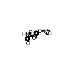 O=C1Nc2ccc(Cl)cc2/C1=C1\OCc2cc(OCCN3CCOCC3)ccc21